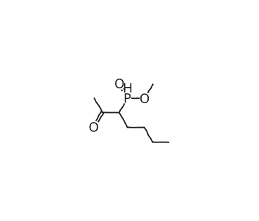 CCCCC(C(C)=O)[PH](=O)OC